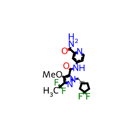 COc1c(C(C)(F)F)nn(C[C@@H]2CCC(F)(F)C2)c1C(=O)Nc1ccnc(C(N)=O)c1